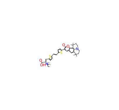 [C-]#[N+]/C(=C\c1ccc(/C=C/c2ccc(-c3cc4cc5c6c(c4oc3=O)C(C)(C)CCN6CCC5(C)C)s2)s1)C(=O)O